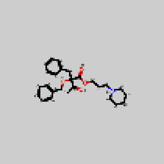 CC(=O)C(Cc1ccccc1)(OCc1ccccc1)C(=O)OCCCN1CCCCC1